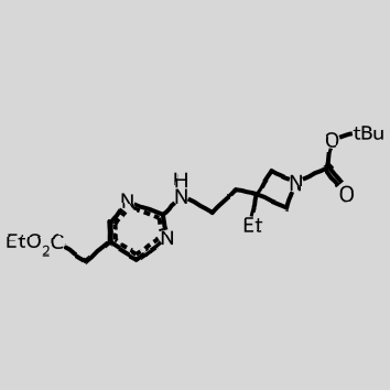 CCOC(=O)Cc1cnc(NCCC2(CC)CN(C(=O)OC(C)(C)C)C2)nc1